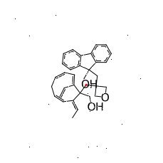 C=C/C1=C\C=CC/C=C\C(=C/C)C1(CO)CC1(CC2(CO)c3ccccc3-c3ccccc32)COC1